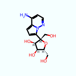 Nc1ccnn2c([C@]3(CO)O[C@H](CO)[C@@H](O)[C@H]3O)ccc12